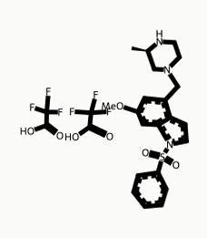 COc1cc(CN2CCN[C@H](C)C2)c2ccn(S(=O)(=O)c3ccccc3)c2c1.O=C(O)C(F)(F)F.O=C(O)C(F)(F)F